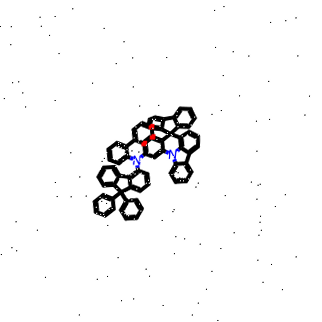 c1ccc(-c2ccccc2N(c2ccc3c(c2)-n2c4ccccc4c4cccc(c42)C32c3ccccc3-c3ccccc32)c2cccc3c2-c2ccccc2C3(c2ccccc2)c2ccccc2)cc1